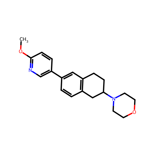 COc1ccc(-c2ccc3c(c2)CCC(N2CCOCC2)C3)cn1